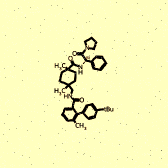 Cc1cccc(C(=O)NCC2(C)CCC(C)(C(=O)N[C@H](C(=O)N3CCCC3)c3ccccc3)CC2)c1-c1ccc(C(C)(C)C)cc1